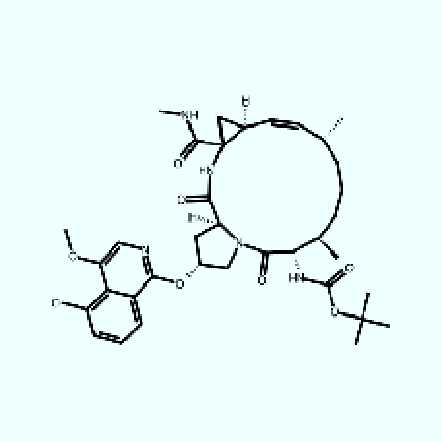 CNC(=O)[C@@]12C[C@H]1/C=C\[C@H](C)CCC[C@@H](C)[C@H](NC(=O)OC(C)(C)C)C(=O)N1C[C@H](Oc3ncc(OC)c4c(Cl)cccc34)C[C@H]1C(=O)N2